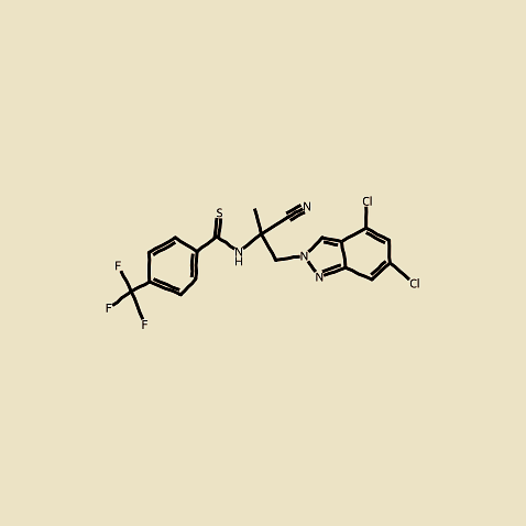 CC(C#N)(Cn1cc2c(Cl)cc(Cl)cc2n1)NC(=S)c1ccc(C(F)(F)F)cc1